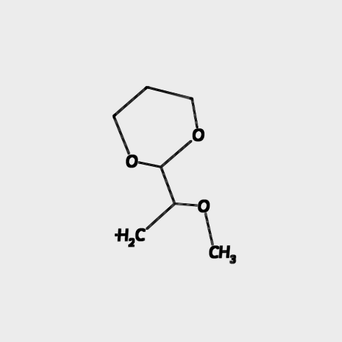 [CH2]C(OC)C1OCCCO1